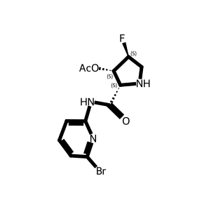 CC(=O)O[C@H]1[C@@H](C(=O)Nc2cccc(Br)n2)NC[C@@H]1F